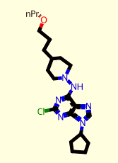 CCCOCCCC1CCN(Nc2nc(Cl)nc3c2ncn3C2CCCC2)CC1